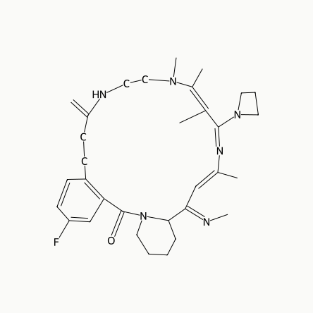 C=C1CCc2ccc(F)cc2C(=O)N2CCCCC2C(=N/C)/C=C(C)/N=C(N2CCC2)\C(C)=C(/C)N(C)CCN1